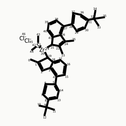 CC1=Cc2c(-c3ccc(C(C)(C)C)cc3)cccc2[CH]1[Zr+2]([CH]1C(C)=C(C)c2c(-c3ccc(C(C)(C)C)cc3)cccc21)=[Si](C)C.[Cl-].[Cl-]